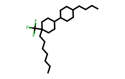 CCCCCCCC1(C(F)(F)F)CCC(C2CCC(CCCC)CC2)CC1